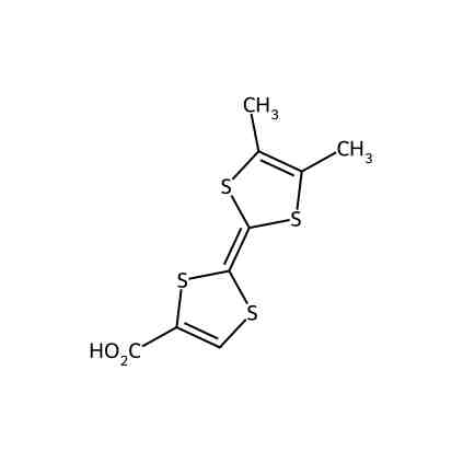 CC1=C(C)SC(=C2SC=C(C(=O)O)S2)S1